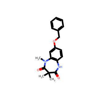 CN1C(=O)C(C)(C)C(=O)Nc2ccc(OCc3ccccc3)cc21